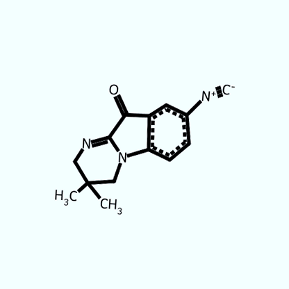 [C-]#[N+]c1ccc2c(c1)C(=O)C1=NCC(C)(C)CN12